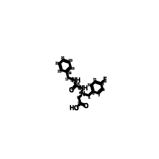 O=C(O)CN(Cc1ccc(F)cc1)NC(=O)NCc1ccccc1